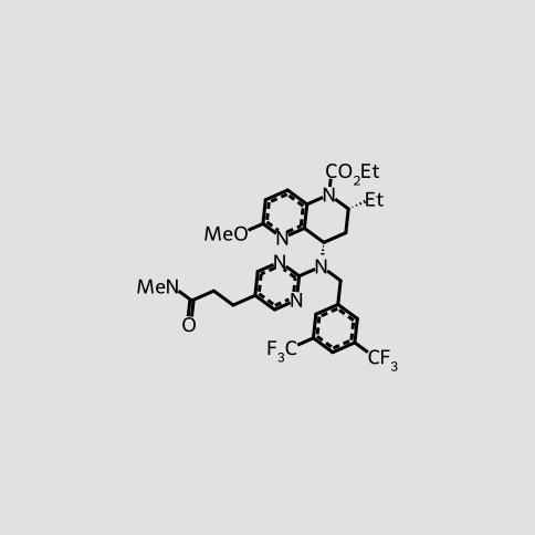 CCOC(=O)N1c2ccc(OC)nc2[C@@H](N(Cc2cc(C(F)(F)F)cc(C(F)(F)F)c2)c2ncc(CCC(=O)NC)cn2)C[C@H]1CC